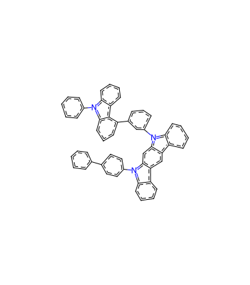 c1ccc(-c2ccc(-n3c4ccccc4c4cc5c6ccccc6n(-c6cccc(-c7cccc8c7c7ccccc7n8-c7ccccc7)c6)c5cc43)cc2)cc1